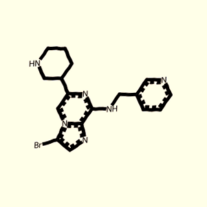 Brc1cnc2c(NCc3cccnc3)nc(C3CCCNC3)cn12